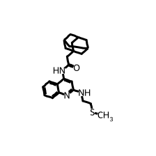 CSCCNc1cc(NC(=O)CC23CC4CC(CC(C4)C2)C3)c2ccccc2n1